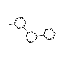 Cc1cccc(-c2ncnc(-c3ccccc3)n2)c1